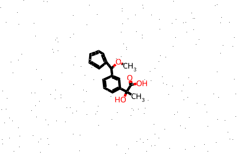 COC(c1ccccc1)c1cccc(C(C)(O)C(=O)O)c1